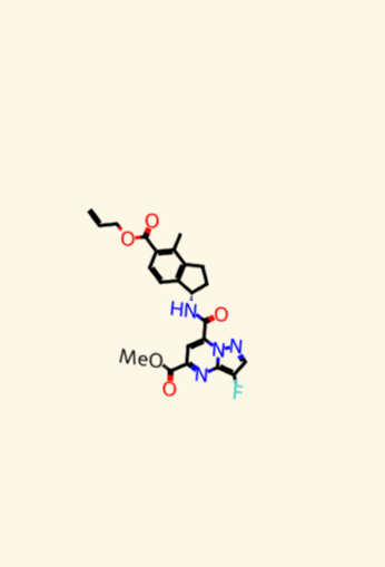 C=CCOC(=O)c1ccc2c(c1C)CC[C@@H]2NC(=O)c1cc(C(=O)OC)nc2c(F)cnn12